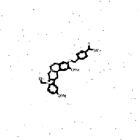 COC(=O)c1ccc(COc2cc3c(cc2OC)C2Cc4c(n(CO)c5ccc(OC)cc45)CN2CC3)cc1